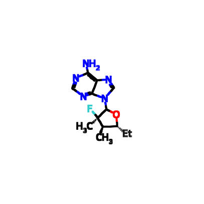 CC[C@H]1OC(n2cnc3c(N)ncnc32)[C@](C)(F)[C@@H]1C